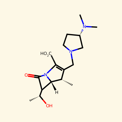 C[C@@H](O)C1C(=O)N2C(C(=O)O)=C(CN3CC[C@H](N(C)C)C3)[C@H](C)[C@H]12